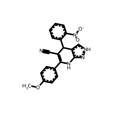 COc1ccc(C2=C(C#N)C(c3ccccc3[N+](=O)[O-])c3c[nH]nc3N2)cc1